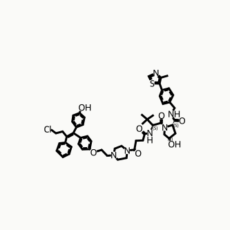 Cc1ncsc1-c1ccc(CNC(=O)[C@@H]2C[C@@H](O)CN2C(=O)[C@@H](NC(=O)CCC(=O)N2CCN(CCOc3ccc(C(=C(CCCl)c4ccccc4)c4ccc(O)cc4)cc3)CC2)C(C)(C)C)cc1